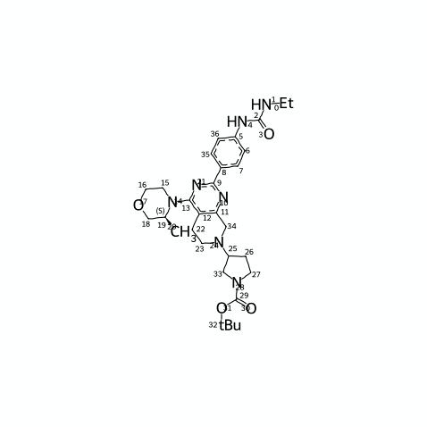 CCNC(=O)Nc1ccc(-c2nc3c(c(N4CCOC[C@@H]4C)n2)CCN(C2CCN(C(=O)OC(C)(C)C)C2)C3)cc1